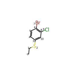 CCSc1ccc(Br)c(Cl)c1